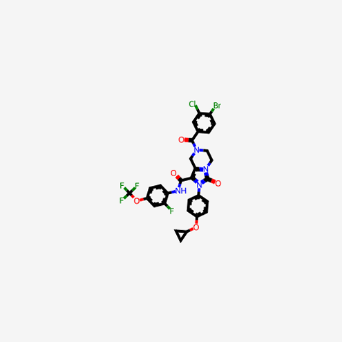 O=C(Nc1ccc(OC(F)(F)F)cc1F)c1c2n(c(=O)n1-c1ccc(OC3CC3)cc1)CCN(C(=O)c1ccc(Br)c(Cl)c1)C2